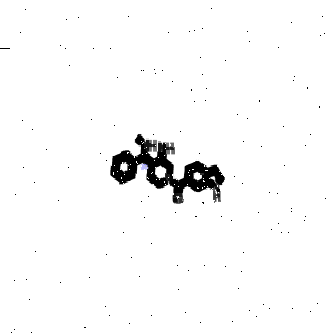 CN/C(=C1/CCN(C(=O)c2ccc3cc[nH]c3c2)CC1=N)c1ccccc1